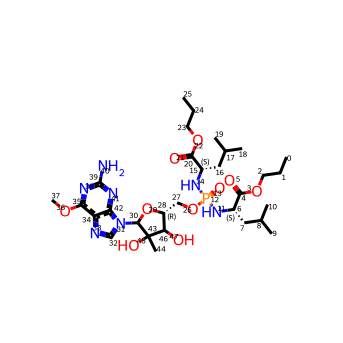 CCCOC(=O)[C@H](CC(C)C)NP(=O)(N[C@@H](CC(C)C)C(=O)OCCC)OC[C@H]1OC(n2cnc3c(OC)nc(N)nc32)C(C)(O)C1O